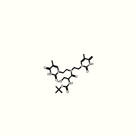 C=C1NC(=O)N(CCN(CCn2cc(C)c(=O)[nH]c2=O)C(=O)C(CS)NC(=O)OC(C)(C)C)C=C1C